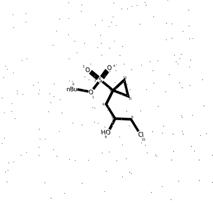 CCCCOS(=O)(=O)C1(CC(O)CCl)CC1